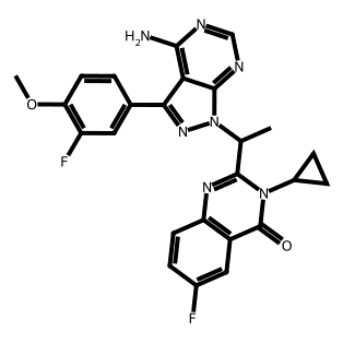 COc1ccc(-c2nn(C(C)c3nc4ccc(F)cc4c(=O)n3C3CC3)c3ncnc(N)c23)cc1F